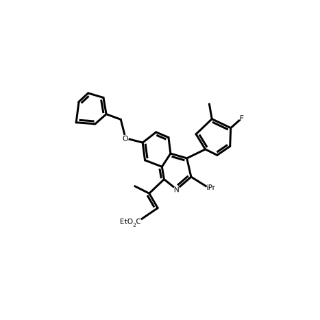 CCOC(=O)/C=C(\C)c1nc(C(C)C)c(-c2ccc(F)c(C)c2)c2ccc(OCc3ccccc3)cc12